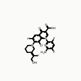 Nc1nc(-n2cc(C(=O)O)c(=O)c3cc(F)c(N4CCCC(=C(F)CO)C4)c(Cl)c32)c(F)cc1F